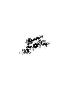 Nc1nc(=O)c2nc(CNc3ccc(C(=O)N[C@@H](CCC(=O)O)C(=O)O)cc3)cnc2[nH]1.O=C(O)CCCC[C@@H]1SC[C@@H]2NC(=O)N[C@@H]21